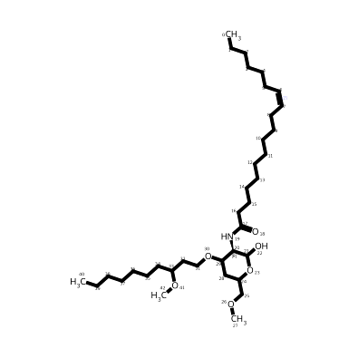 CCCCCC/C=C\CCCCCCCCCC(=O)N[C@H]1C(O)OC(COC)CC1OCCC(CCCCCCC)OC